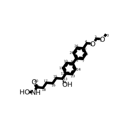 COCOCc1ccc(-c2ccc([C@H](O)CCCCC(=O)NO)cc2)cc1